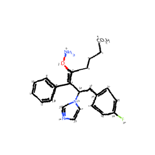 NO/C(CCCC(=O)O)=C(\c1ccccc1)C(Cc1ccc(F)cc1)n1ccnc1